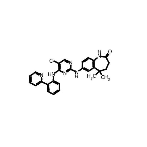 CC1(C)CCC(=O)Nc2ccc(Nc3ncc(Cl)c(Nc4ccccc4-c4ccccn4)n3)cc21